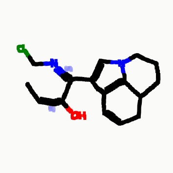 C/C=C(O)\C(=N/CCl)c1cn2c3c1C=CCC3CCC2